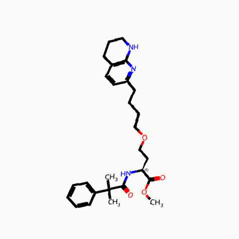 COC(=O)[C@H](CCOCCCCc1ccc2c(n1)NCCC2)NC(=O)C(C)(C)c1ccccc1